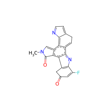 CN1C=c2c(c3c(c4c2=C2N=CC=C2CC=4)=NC2=C3CC(=O)C=C2F)C1=O